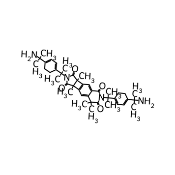 CC(C)(N)C1=CC=C(C(C)(C)N2C(=O)c3cc4c(cc3C(C)(C)C2=O)C2(C)C(=O)N(C(C)(C)C3=CC=C(C(C)(C)N)CC3)C(=O)C42C)CC1